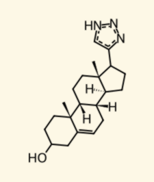 C[C@]12CCC(O)CC1=CC[C@@H]1[C@H]2CC[C@]2(C)C(c3c[nH]nn3)CC[C@@H]12